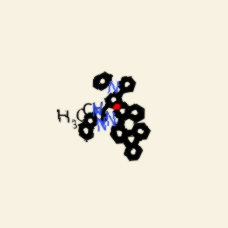 CC1(C)c2ccccc2-c2nc(-n3c4ccc5ccccc5c4c4c5c6ccccc6c6ccccc6c5ccc43)c(-c3ccc4c5ccccc5n(-c5ccccc5)c4c3)nc21